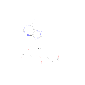 C[C@@H](OC(=O)CCC(=O)O)[C@@H](CO)O[C@H](CO)n1cnc2c(N)ncnc21